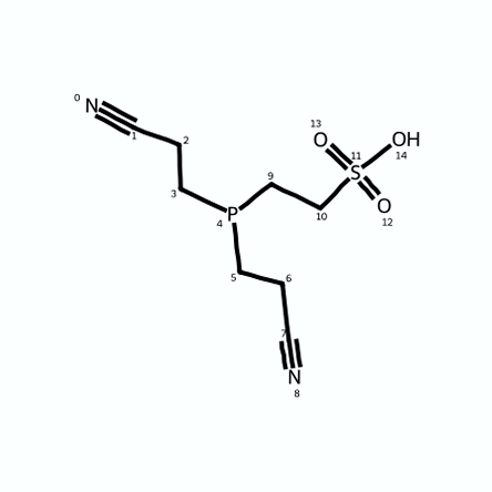 N#CCCP(CCC#N)CCS(=O)(=O)O